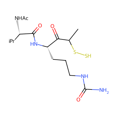 CC(=O)N[C@H](C(=O)N[C@@H](CCCNC(N)=O)C(=O)C(C)SS)C(C)C